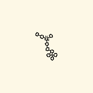 c1ccc(-c2ccc(-c3cc(-c4ccc(-c5cccc(-c6cccc7c6-c6ccccc6C7(c6ccccc6)c6ccccc6)c5)cc4)nc(-c4ccccc4)n3)cc2)cc1